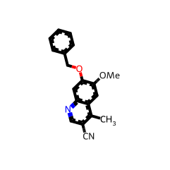 COc1cc2c(C)c(C#N)cnc2cc1OCc1ccccc1